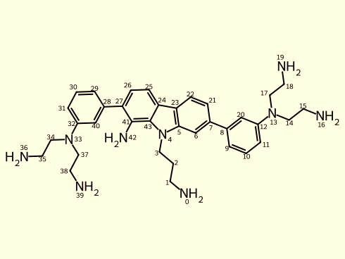 NCCCn1c2cc(-c3cccc(N(CCN)CCN)c3)ccc2c2ccc(-c3cccc(N(CCN)CCN)c3)c(N)c21